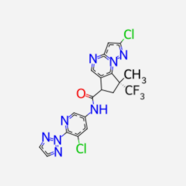 C[C@@]1(C(F)(F)F)CC(C(=O)Nc2cnc(-n3nccn3)c(Cl)c2)c2cnc3cc(Cl)nn3c21